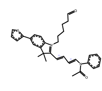 CC(=O)N(/C=C/C=C/C1=[N+](CCCCCC=O)c2ccc(-c3cccs3)cc2C1(C)C)c1ccccc1